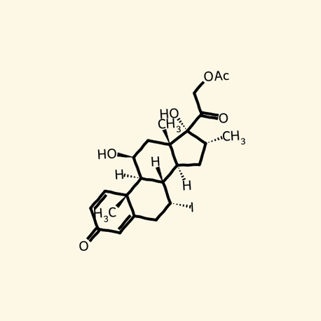 CC(=O)OCC(=O)[C@@]1(O)[C@H](C)C[C@H]2[C@H]3[C@H]([C@@H](O)C[C@@]21C)[C@@]1(C)C=CC(=O)C=C1C[C@H]3I